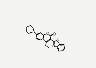 CCc1c(-c2nc3ccccc3s2)c(=O)oc2cc(N3CCCCC3)ccc12